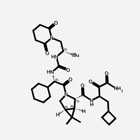 CC(C)(C)[C@@H](CN1C(=O)CCCC1=O)NC(=O)N[C@H](C(=O)N1C[C@H]2[C@@H]([C@H]1C(=O)NC(CC1CCC1)C(=O)C(N)=O)C2(C)C)C1CCCCC1